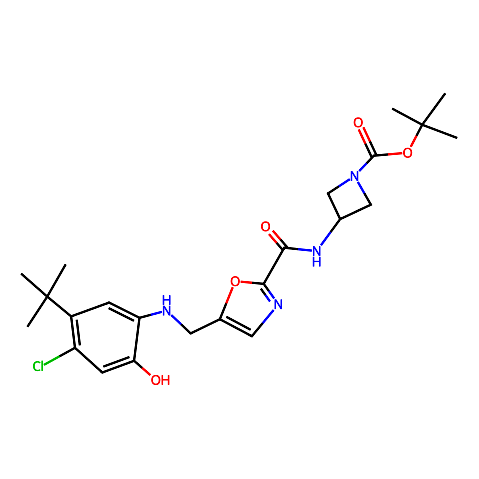 CC(C)(C)OC(=O)N1CC(NC(=O)c2ncc(CNc3cc(C(C)(C)C)c(Cl)cc3O)o2)C1